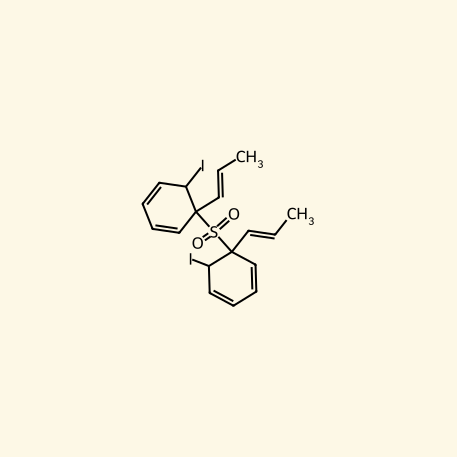 CC=CC1(S(=O)(=O)C2(C=CC)C=CC=CC2I)C=CC=CC1I